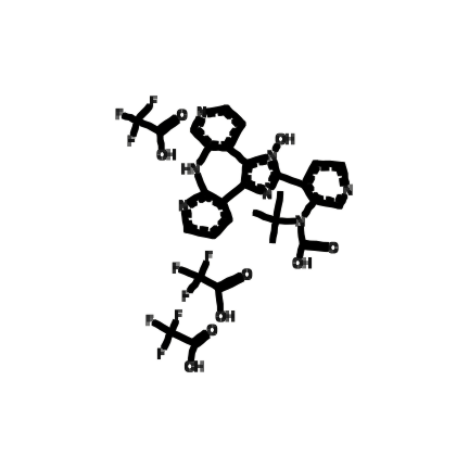 CC(C)(C)N(C(=O)O)c1cnccc1-c1nc2c(n1O)-c1ccncc1Nc1ncccc1-2.O=C(O)C(F)(F)F.O=C(O)C(F)(F)F.O=C(O)C(F)(F)F